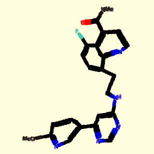 CNC(=O)c1ccnc2c(CCNc3cc(-c4ccc(OC)nc4)ncn3)ccc(F)c12